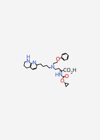 O=C(N[C@@H](CCN(CCCCc1ccc2c(n1)NCCC2)CCOc1ccccc1)C(=O)O)OC1CC1